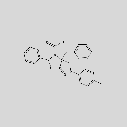 O=C(O)N1C(c2ccccc2)OC(=O)C1(CSc1ccc(F)cc1)Cc1ccccc1